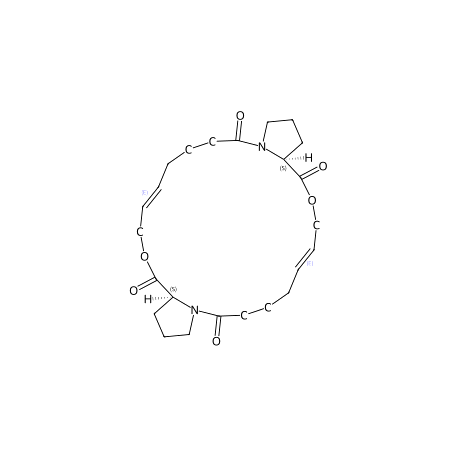 O=C1OC/C=C/CCCC(=O)N2CCC[C@H]2C(=O)OC/C=C/CCCC(=O)N2CCC[C@@H]12